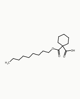 CCCCCCCCCOC(=O)C1(C(=O)O)CCCCC1